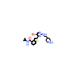 O=C(NC1CC1)c1cccc2sc(-c3nc(NCCC4CCNCC4)ncc3Br)cc12